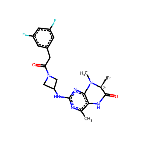 Cc1nc(NC2CN(C(=O)Cc3cc(F)cc(F)c3)C2)nc2c1NC(=O)[C@H](C(C)C)N2C